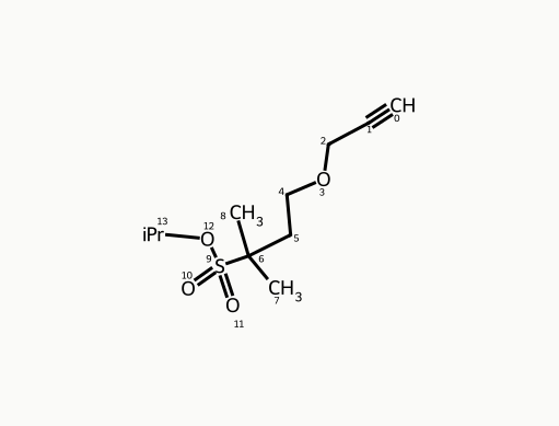 C#CCOCCC(C)(C)S(=O)(=O)OC(C)C